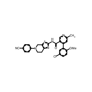 COc1ccc(Cl)cc1-c1cc(C)ncc1C(=O)Nc1nc2c(s1)CN(c1ccc(C#N)cc1)CC2